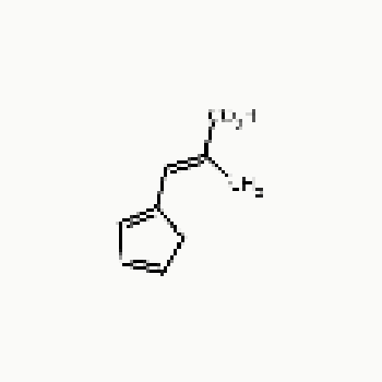 C/C(=C\C1=CC=CC1)C(=O)O